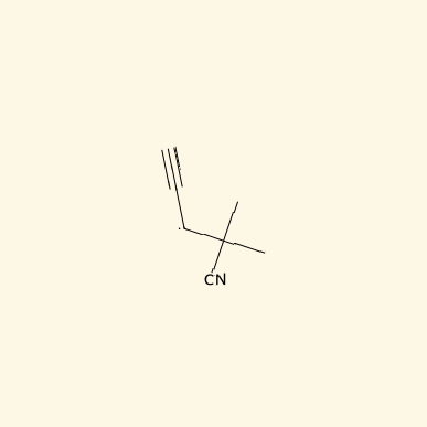 C#C[CH]C(C)(C)C#N